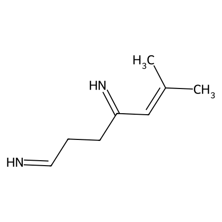 CC(C)=CC(=N)CCC=N